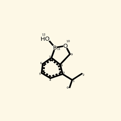 CC(C)c1cccc2c1COB2O